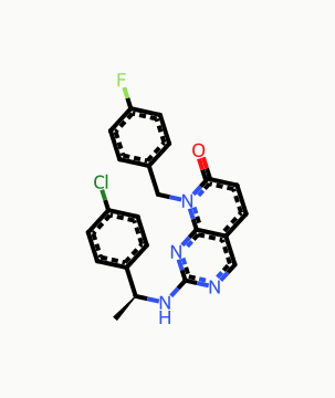 C[C@H](Nc1ncc2ccc(=O)n(Cc3ccc(F)cc3)c2n1)c1ccc(Cl)cc1